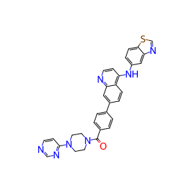 O=C(c1ccc(-c2ccc3c(Nc4ccc5scnc5c4)ccnc3c2)cc1)N1CCN(c2ccncn2)CC1